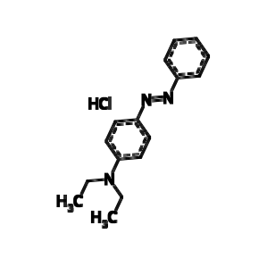 CCN(CC)c1ccc(N=Nc2ccccc2)cc1.Cl